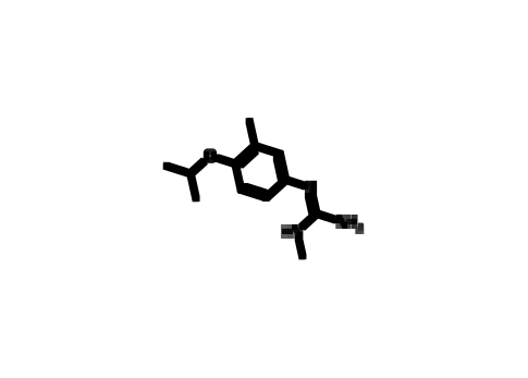 CN/C(N)=N\c1ccc(OC(C)C)c(C)c1